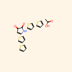 CC(=O)O.O=C1C=CNC1=O.c1ccsc1.c1ccsc1.c1ccsc1.c1ccsc1